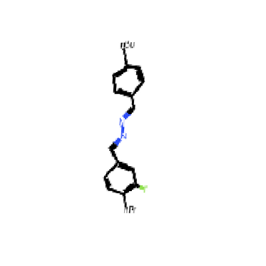 CCCCc1ccc(C=NN=Cc2ccc(CCC)c(F)c2)cc1